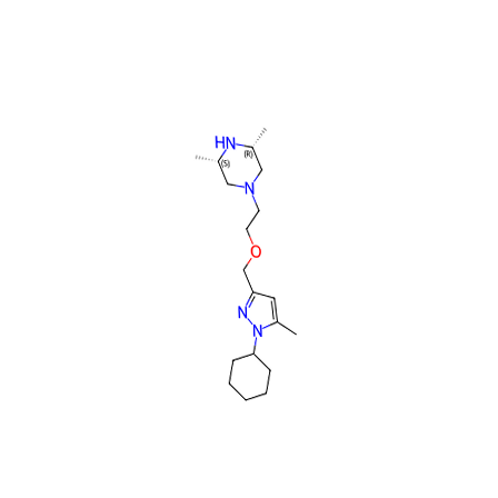 Cc1cc(COCCN2C[C@@H](C)N[C@@H](C)C2)nn1C1CCCCC1